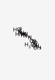 CC(C)C(C(=O)N1CC[C@@H](O)C1)c1cc(OCCCN2CCC(c3cnc(N4CCN5c6cc(-c7ccccc7O)nnc6NC[C@@H]5C4)nc3)CC2)no1